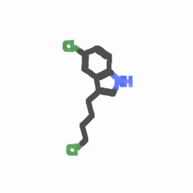 ClCCCCc1c[nH]c2ccc(Cl)cc12